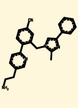 Cc1nc(-c2ccccc2)cn1Cc1cc(C#N)ccc1-c1ccc(CCN)cn1